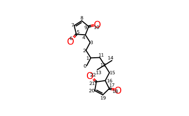 CC(CCC1C(=O)C=CC1=O)CC(C)(C)CC1C(=O)C=CC1=O